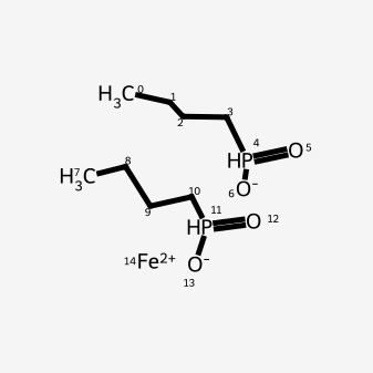 CCCC[PH](=O)[O-].CCCC[PH](=O)[O-].[Fe+2]